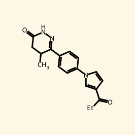 CCC(=O)c1ccn(-c2ccc(C3=NNC(=O)CC3C)cc2)c1